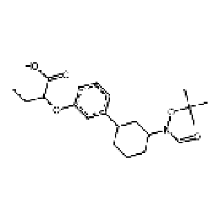 CCC(Oc1cccc(C2CCCC(N(C=O)OC(C)(C)C)C2)c1)C(=O)O